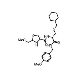 COCC1N[C@H](C(=O)N[C@@H](CSCC2CCCCC2)C(=O)NCc2ccc(OC)cc2)CS1